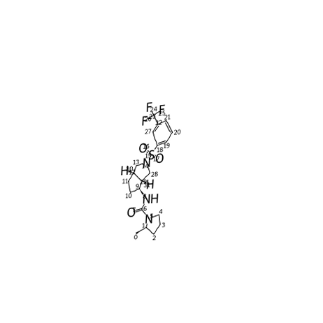 C[C@@H]1CCCN1C(=O)N[C@H]1CC[C@@H]2CN(S(=O)(=O)c3cccc(C(F)(F)F)c3)C[C@@H]21